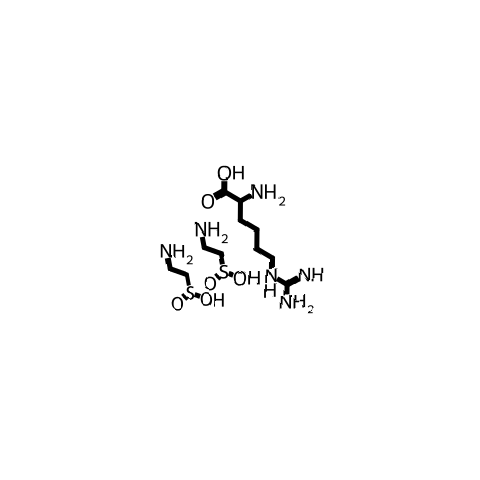 N=C(N)NCCCCC(N)C(=O)O.NCCS(=O)O.NCCS(=O)O